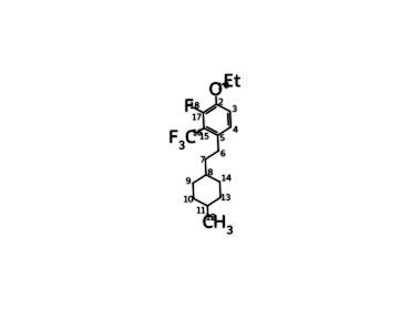 CCOc1ccc(CCC2CCC(C)CC2)c(C(F)(F)F)c1F